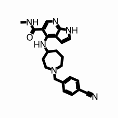 CNC(=O)c1cnc2[nH]ccc2c1NC1CCCN(Cc2ccc(C#N)cc2)CC1